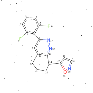 Fc1cccc(F)c1-c1cc2c(nn1)C(c1ccno1)CCC2